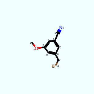 COc1cc(C#N)cc(CBr)c1